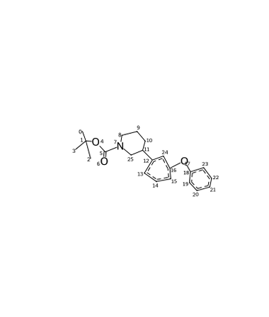 CC(C)(C)OC(=O)N1CCCC(c2cccc(Oc3ccccc3)c2)C1